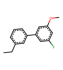 CCc1cccc(-c2cc(F)cc(OC)c2)c1